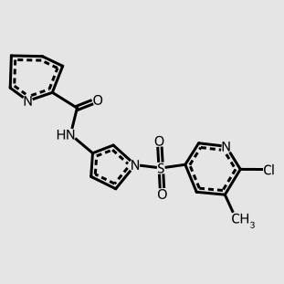 Cc1cc(S(=O)(=O)n2ccc(NC(=O)c3ccccn3)c2)cnc1Cl